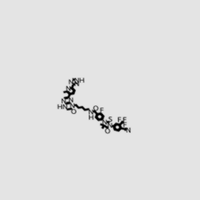 Cc1nc(-c2nc[nH]n2)ccc1-c1cnc2c(n1)N(CCCCCNC(=O)c1ccc(N3C(=S)N(c4ccc(C#N)c(C(F)(F)F)c4)C(=O)C3(C)C)cc1F)C(=O)CN2